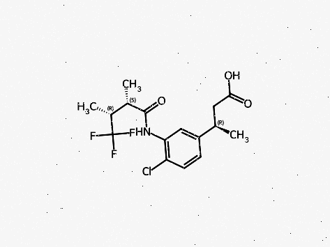 C[C@H](CC(=O)O)c1ccc(Cl)c(NC(=O)[C@@H](C)[C@@H](C)C(F)(F)F)c1